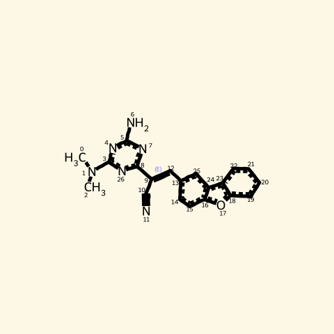 CN(C)c1nc(N)nc(/C(C#N)=C/c2ccc3oc4ccccc4c3c2)n1